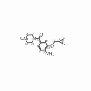 CN1CCN(C(=O)c2ccc(N)c(OCC3CC3)c2)CC1